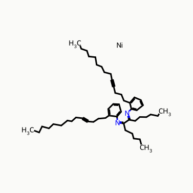 CCCCCCCCCC#CCCCc1ccccc1N=C(CCCCC)C(CCCCCC)=Nc1ccccc1CCCC#CCCCCCCCCC.[Ni]